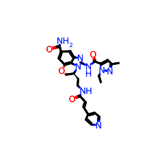 CCn1nc(C)cc1C(=O)Nc1nc2cc(C(N)=O)cc3c2n1[C@@H](CCNC(=O)/C=C/c1ccncc1)CO3